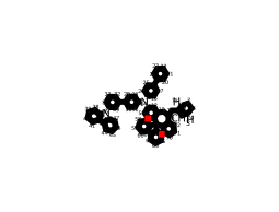 C[C@@]1(CC2C[C@@H]3CC[C@H]2C3)Cc2cc(N(c3ccc(-c4ccccc4)cc3)c3ccc(-c4cccc(-n5c6ccccc6c6ccccc65)c4)cc3)ccc2C(c2ccccc2)(c2ccccc2)c2ccccc21